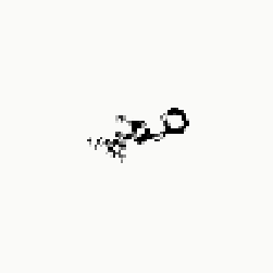 CN(C)S(=O)(=O)n1cc(OC2CCCCO2)nc1C#N